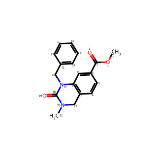 COC(=O)c1ccc2c(c1)N(Cc1ccccc1)C(=O)N(C)C2